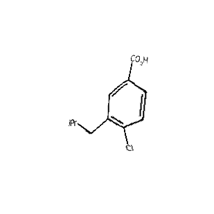 CC(C)Cc1cc(C(=O)O)ccc1Cl